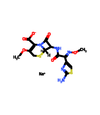 CON=C(C(=O)NC1C(=O)N2C(C(=O)[O-])=C(OC)CS[C@@H]12)c1csc(N)n1.[Na+]